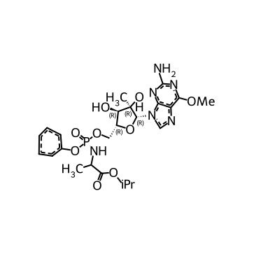 COc1nc(N)nc2c1ncn2[C@@H]1O[C@H](COP(=O)(NC(C)C(=O)OC(C)C)Oc2ccccc2)[C@@H](O)[C@@]1(C)O